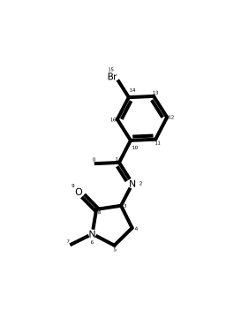 CC(=NC1CCN(C)C1=O)c1cccc(Br)c1